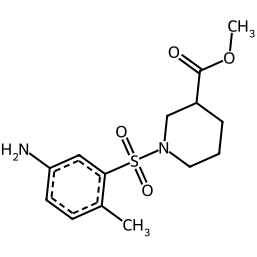 COC(=O)C1CCCN(S(=O)(=O)c2cc(N)ccc2C)C1